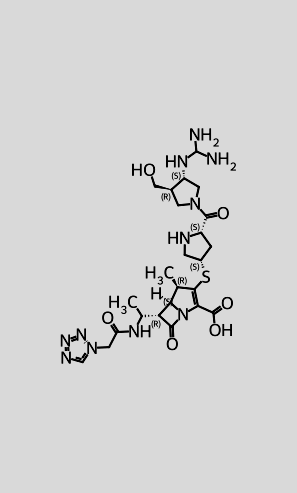 CC(NC(=O)Cn1cnnn1)[C@H]1C(=O)N2C(C(=O)O)=C(S[C@@H]3CN[C@H](C(=O)N4C[C@@H](CO)[C@H](NC(N)N)C4)C3)[C@H](C)[C@H]12